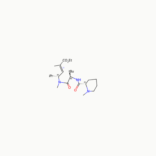 CCOC(=O)/C(C)=C/[C@@H](C(C)C)N(C)C(=O)[C@H](NC(=O)[C@@H]1CCCCN1C)C(C)(C)C